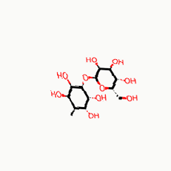 C[C@H]1[C@@H](O)[C@@H](O)[C@H](O[C@@H]2O[C@@H](CO)[C@@H](O)[C@H](O)[C@@H]2O)[C@H](O)[C@@H]1O